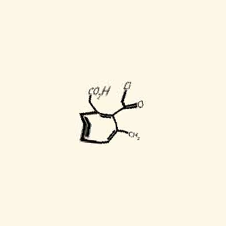 Cc1cccc(C(=O)O)c1C(=O)Cl